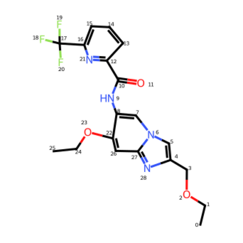 CCOCc1cn2cc(NC(=O)c3cccc(C(F)(F)F)n3)c(OCC)cc2n1